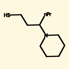 CCCC(CCS)N1CCCCC1